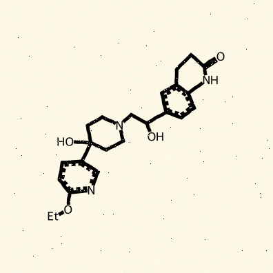 CCOc1ccc(C2(O)CCN(CC(O)c3ccc4c(c3)CCC(=O)N4)CC2)cn1